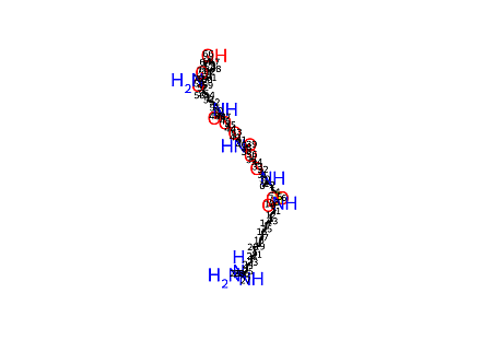 C=C(CCCS(=O)(=O)NC(=O)CCCCCCCCCCCCCCCC(=N)NN)NCCOCCOCC(=O)NCCOCCOCC(=O)NCCCC[C@H](C)C(=O)C[C@@H](Cc1ccc(O)cc1)C(N)=O